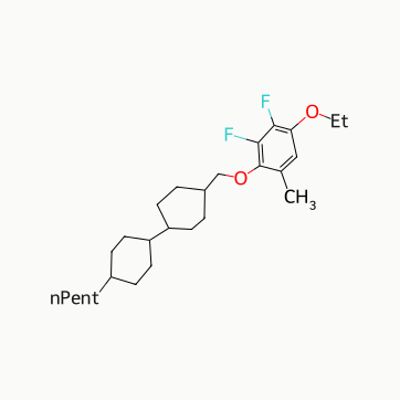 CCCCCC1CCC(C2CCC(COc3c(C)cc(OCC)c(F)c3F)CC2)CC1